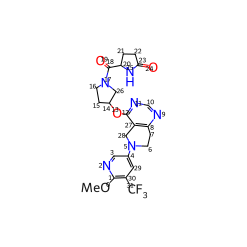 COc1ncc(N2CCc3ncnc(OC4CCN(C(=O)C5CCC(=O)N5)C4)c3C2)cc1C(F)(F)F